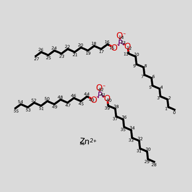 CCCCCCCCCCCCOP([O-])OCCCCCCCCCCCC.CCCCCCCCCCCCOP([O-])OCCCCCCCCCCCC.[Zn+2]